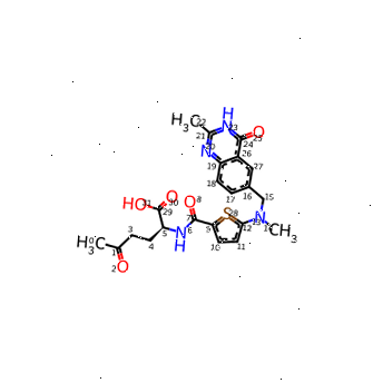 CC(=O)CC[C@H](NC(=O)c1ccc(N(C)Cc2ccc3nc(C)[nH]c(=O)c3c2)s1)C(=O)O